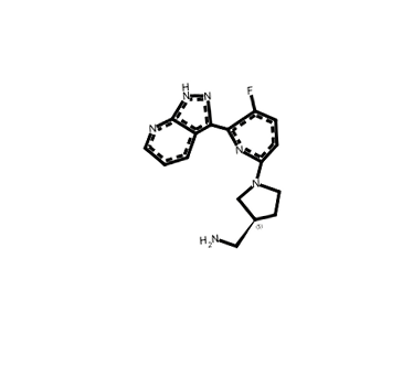 NC[C@@H]1CCN(c2ccc(F)c(-c3n[nH]c4ncccc34)n2)C1